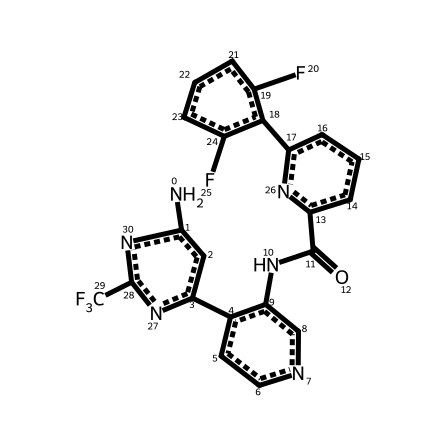 Nc1cc(-c2ccncc2NC(=O)c2cccc(-c3c(F)cccc3F)n2)nc(C(F)(F)F)n1